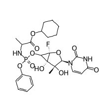 CC(NP(=O)(Oc1ccccc1)OC1[C@]2(O)[C@@](C)(O)[C@H](n3ccc(=O)[nH]c3=O)O[C@]12F)C(=O)OC1CCCCC1